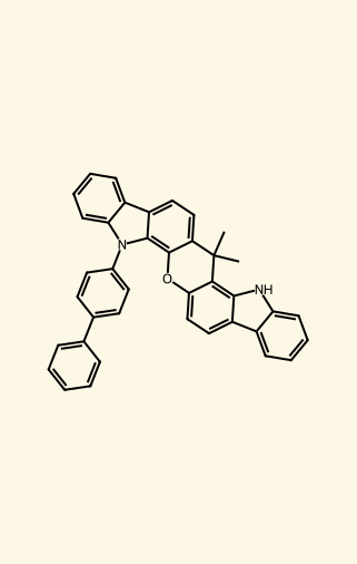 CC1(C)c2ccc3c4ccccc4n(-c4ccc(-c5ccccc5)cc4)c3c2Oc2ccc3c([nH]c4ccccc43)c21